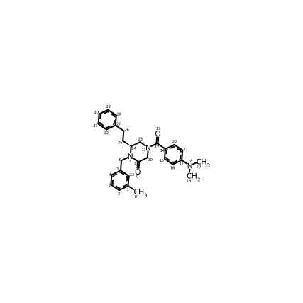 Cc1cccc(CN2C(=O)CN(C(=O)c3ccc(N(C)C)cc3)C[C@@H]2CCc2ccccc2)c1